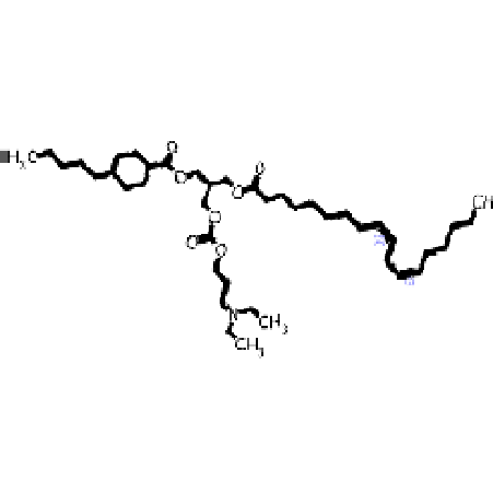 CCCCC/C=C\C/C=C\CCCCCCCC(=O)OCC(COC(=O)OCCCN(CC)CC)COC(=O)C1CCC(CCCCC)CC1